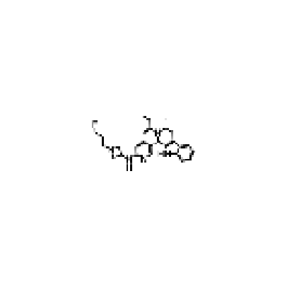 C=C(CC)N1[C@H](c2ccc(NC3CN(CCCF)C3)nc2)c2[nH]c3ccccc3c2C[C@H]1C